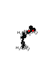 CN(C)Cc1c(OC[C@H]2CC[C@@H](O[Si](c3ccccc3)(c3ccccc3)C(C)(C)C)CC2)ccc2c(CCC3CCN(C(=O)OC(C)(C)C)CC3)noc12